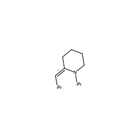 CC(C)/C=C1/CCCCN1C(C)C